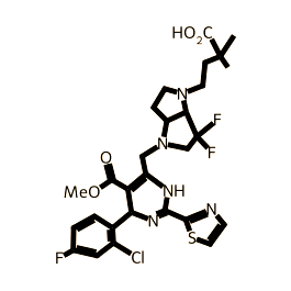 COC(=O)C1=C(CN2CC(F)(F)C3C2CCN3CCC(C)(C)C(=O)O)NC(c2nccs2)=NC1c1ccc(F)cc1Cl